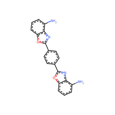 Nc1cccc2oc(-c3ccc(-c4nc5c(N)cccc5o4)cc3)nc12